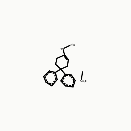 CC(C)(C)NC1=CCC(c2ccccc2)(c2ccccc2)CC1.CS(=O)(=O)O